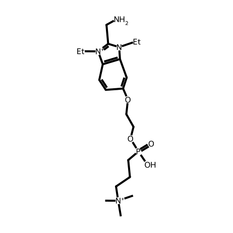 CCn1c(CN)[n+](CC)c2ccc(OCCOP(=O)(O)CCC[N+](C)(C)C)cc21